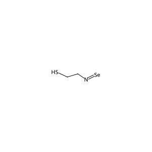 SCCN=[Se]